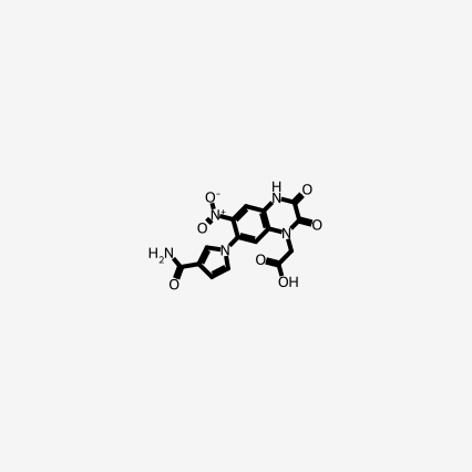 NC(=O)c1ccn(-c2cc3c(cc2[N+](=O)[O-])[nH]c(=O)c(=O)n3CC(=O)O)c1